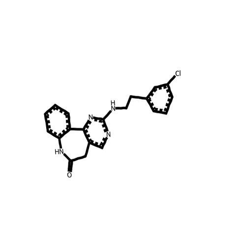 O=C1Cc2cnc(NCCc3cccc(Cl)c3)nc2-c2ccccc2N1